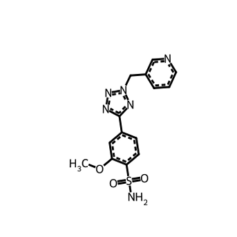 COc1cc(-c2nnn(Cc3cccnc3)n2)ccc1S(N)(=O)=O